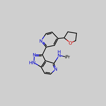 CC(C)Nc1nccc2[nH]nc(-c3cc(C4CCCO4)ccn3)c12